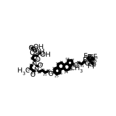 CC1CN([C@H]2CC(OP(=O)(O)O)[C@@H](CO)O2)C(=O)N(CCCCOc2ccc3c(c2)CCC2C3CCC3(C)C(OCCCOC(C(F)(F)F)(C(F)(F)F)C(F)(F)F)CCC23)C1=O